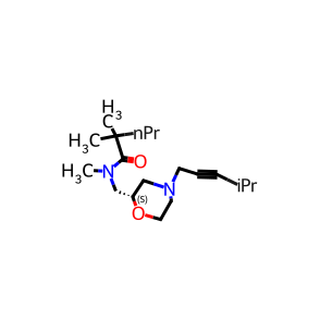 CCCC(C)(C)C(=O)N(C)C[C@@H]1CN(CC#CC(C)C)CCO1